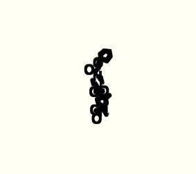 Cc1cc2c(cc1S(=O)(=O)N1CCN(C(=O)COc3ccccc3)CC1)oc(=O)n2C